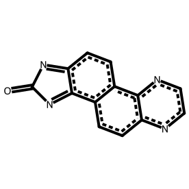 O=C1N=c2ccc3c(ccc4nccnc43)c2=N1